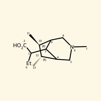 CCC(C(=O)O)C1C2CN(C)CC1[C@H](C)[C@H]2C